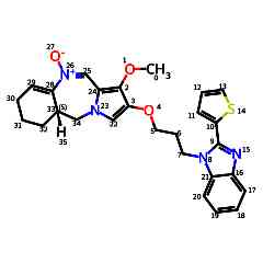 COc1c(OCCCn2c(-c3cccs3)nc3ccccc32)cn2c1C=[N+]([O-])C1=CCCC[C@H]1C2